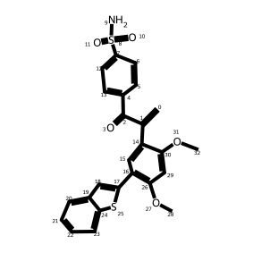 C=C(C(=O)c1ccc(S(N)(=O)=O)cc1)c1cc(-c2cc3ccccc3s2)c(OC)cc1OC